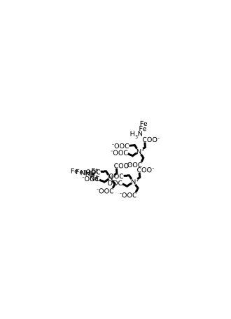 N.N.N.O=C([O-])C[N+](CC(=O)[O-])(CC(=O)[O-])CC(=O)[O-].O=C([O-])C[N+](CC(=O)[O-])(CC(=O)[O-])CC(=O)[O-].O=C([O-])C[N+](CC(=O)[O-])(CC(=O)[O-])CC(=O)[O-].[CH2][CH2][Na].[Fe].[Fe].[Fe].[Fe]